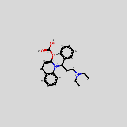 CCN(CC)CCC(c1ccccc1)N1C(OC(=O)O)=CCc2ccccc21